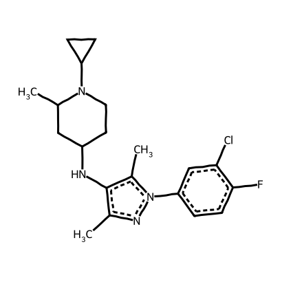 Cc1nn(-c2ccc(F)c(Cl)c2)c(C)c1NC1CCN(C2CC2)C(C)C1